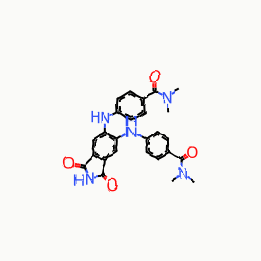 CN(C)C(=O)c1ccc(Nc2cc3c(cc2Nc2ccc(C(=O)N(C)C)cc2)C(=O)NC3=O)cc1